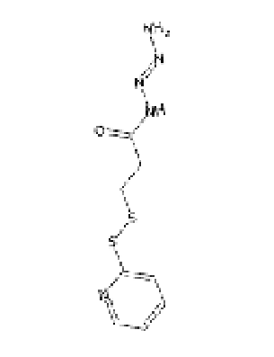 NN=NNC(=O)CCSSc1ccccn1